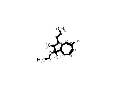 CCCCC(C)C(C)(OCC)C1CC=CC(F)=CC1